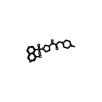 CN1CCN(CC(=O)N[C@H]2CCN(S(=O)(=O)c3cccc4cncc(Cl)c34)C2)CC1